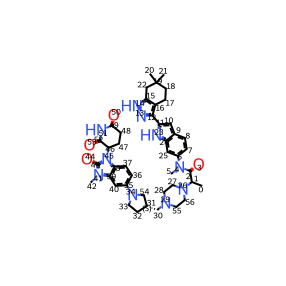 CC(C(=O)N(C)c1ccc2cc(-c3n[nH]c4c3CCC(C)(C)C4)[nH]c2c1)N1CCN(C[C@@H]2CCN(c3ccc4c(c3)n(C)c(=O)n4C3CCC(=O)NC3=O)C2)CC1